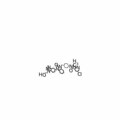 Cc1ncc(Cl)cc1C(=O)N[C@H]1CC[C@H](Cn2c(=O)n(-c3ccc4c(c3)nnn4CCO)c3ccccc32)CC1